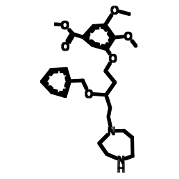 COC(=O)c1cc(OC)c(OC)c(OCCC(CCN2CCCNCC2)OCc2ccccc2)c1